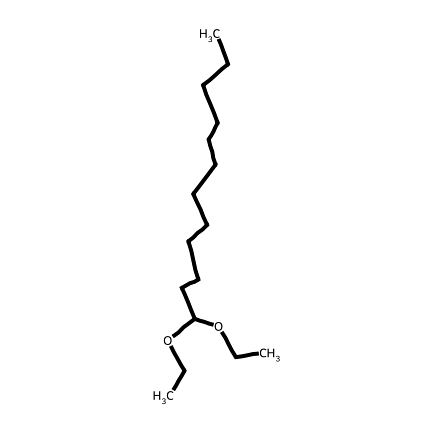 CCCCCCCCCCC[C](OCC)OCC